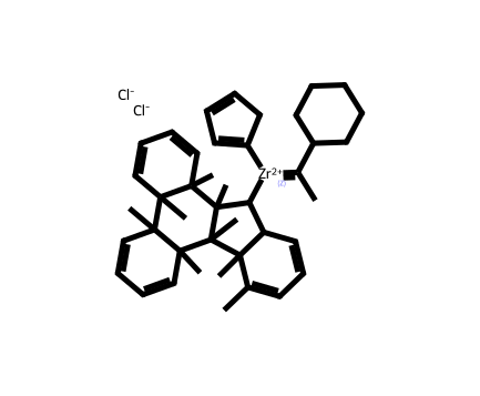 CC1=CC=CC2[CH](/[Zr+2]([C]3=CC=CC3)=[C](\C)C3CCCCC3)C3(C)C4(C)C=CC=CC4(C)C4(C)C=CC=CC4(C)C3(C)C12C.[Cl-].[Cl-]